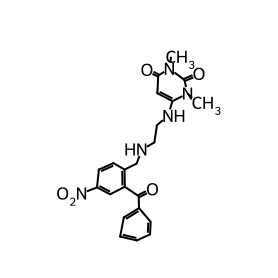 Cn1c(NCCNCc2ccc([N+](=O)[O-])cc2C(=O)c2ccccc2)cc(=O)n(C)c1=O